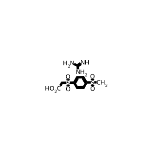 CS(=O)(=O)c1ccc(S(=O)(=O)CC(=O)O)cc1.N=C(N)N